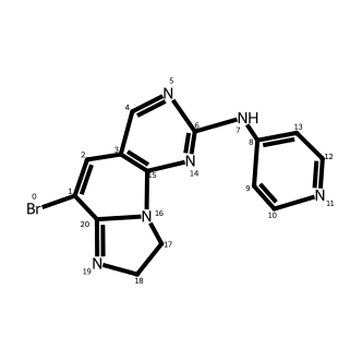 BrC1=Cc2cnc(Nc3ccncc3)nc2N2CCN=C12